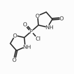 O=C1COC(P(=O)(Cl)C2NC(=O)CO2)N1